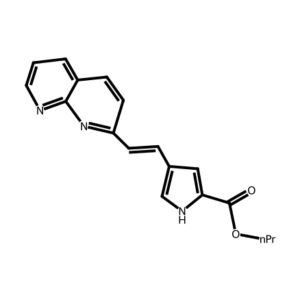 CCCOC(=O)c1cc(/C=C/c2ccc3cccnc3n2)c[nH]1